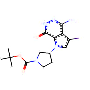 CC(C)(C)OC(=O)N1CC[C@H](n2cc(I)c3c(N)n[nH]c(=O)c32)C1